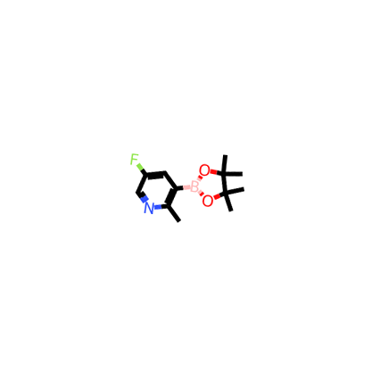 Cc1ncc(F)cc1B1OC(C)(C)C(C)(C)O1